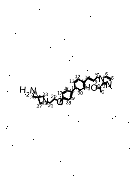 CC(O)c1nccn1C/C=C/c1ccc(-c2ccc(OCCN3CC(CN)C3)cc2)cc1